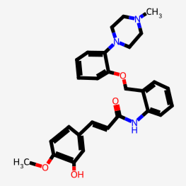 COc1ccc(C=CC(=O)Nc2ccccc2COc2ccccc2N2CCN(C)CC2)cc1O